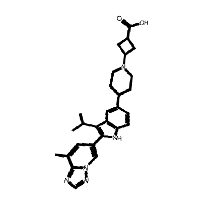 Cc1cc(-c2[nH]c3ccc(C4CCN(C5CC(C(=O)O)C5)CC4)cc3c2C(C)C)cn2ncnc12